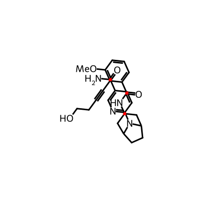 COc1cccc(C(=O)NC2CC3CCC(C2)N3c2ccc(C(N)=O)cn2)c1C#CCCO